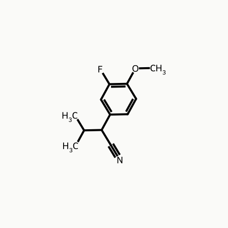 COc1ccc(C(C#N)C(C)C)cc1F